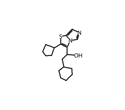 OC(CC1CCCCC1)c1c(C2CCCC2)sc2cncn12